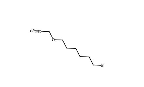 CCCCCCOCCCCCCBr